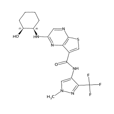 Cn1cc(NC(=O)c2csc3ncc(N[C@@H]4CCCC[C@@H]4O)nc23)c(C(F)(F)F)n1